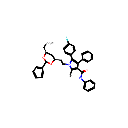 CCOC(=O)C[C@H]1C[C@@H](CCn2c(-c3ccc(F)cc3)c(-c3ccccc3)c(C(=O)Nc3ccccc3)c2C(C)C)OC(c2ccccc2)O1